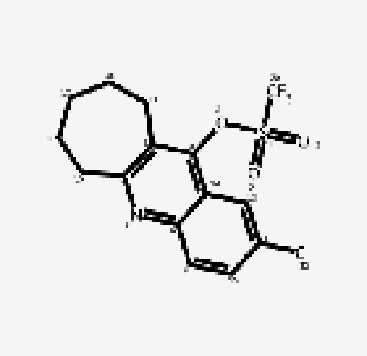 O=S(=O)(Oc1c2c(nc3ccc(Cl)cc13)CCCCC2)C(F)(F)F